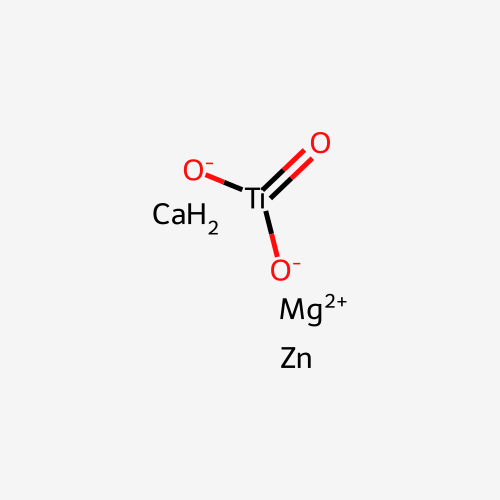 [CaH2].[Mg+2].[O]=[Ti]([O-])[O-].[Zn]